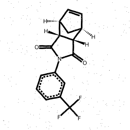 O=C1[C@@H]2[C@H](C(=O)N1c1cccc(C(F)(F)F)c1)[C@H]1C=C[C@@H]2C1